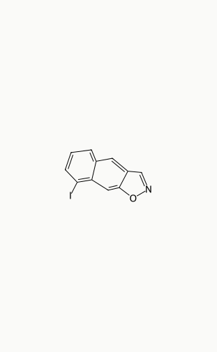 Ic1cccc2cc3cnoc3cc12